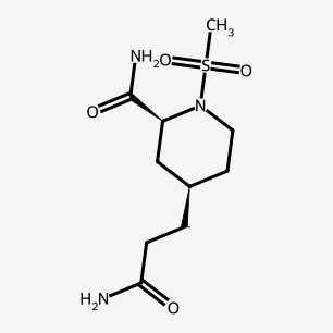 CS(=O)(=O)N1CC[C@@H]([CH]CC(N)=O)C[C@H]1C(N)=O